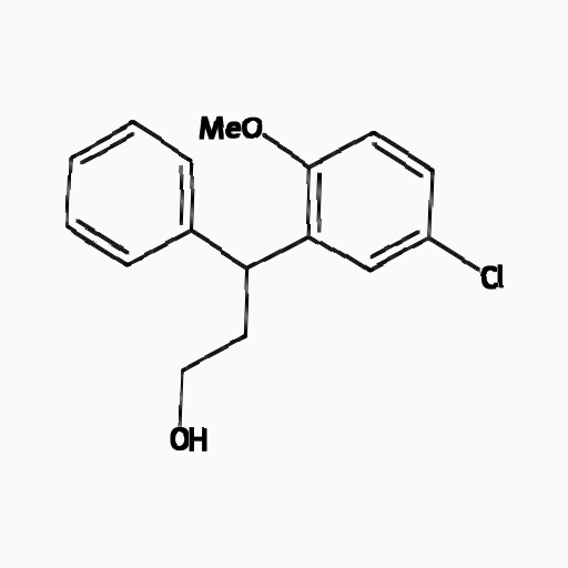 COc1ccc(Cl)cc1C(CCO)c1ccccc1